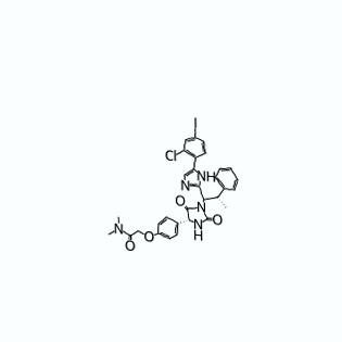 C[C@@H](c1ccccc1)C(c1ncc(-c2ccc(I)cc2Cl)[nH]1)N1C(=O)N[C@H](c2ccc(OCC(=O)N(C)C)cc2)C1=O